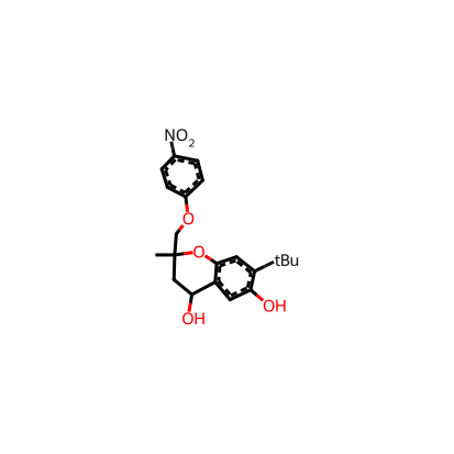 CC1(COc2ccc([N+](=O)[O-])cc2)CC(O)c2cc(O)c(C(C)(C)C)cc2O1